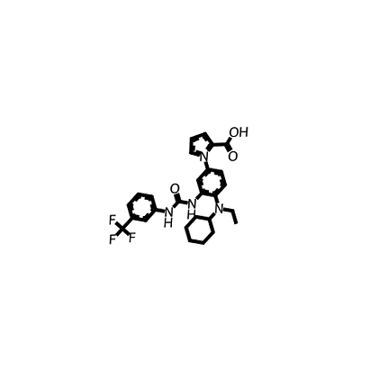 CCN(c1ccc(-n2cccc2C(=O)O)cc1NC(=O)Nc1cccc(C(F)(F)F)c1)C1CCCCC1